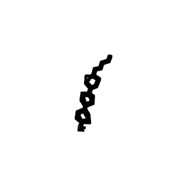 CCCCCC1CCC(c2ccc(-c3ccc(Br)cc3)cc2)CO1